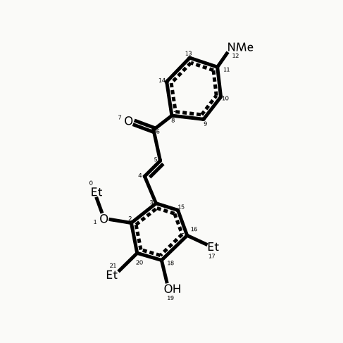 CCOc1c(C=CC(=O)c2ccc(NC)cc2)cc(CC)c(O)c1CC